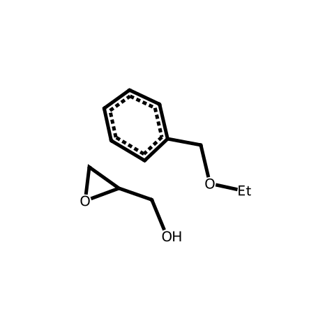 CCOCc1ccccc1.OCC1CO1